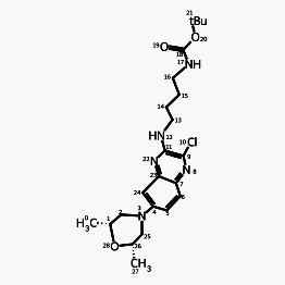 C[C@@H]1CN(c2ccc3nc(Cl)c(NCCCCNC(=O)OC(C)(C)C)nc3c2)C[C@H](C)O1